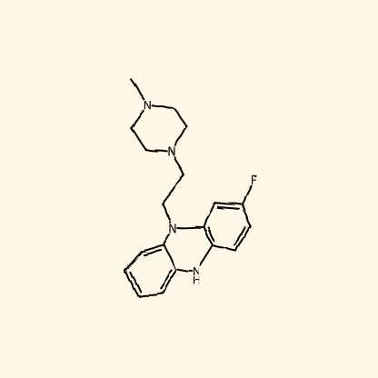 CN1CCN(CCN2c3ccccc3Nc3ccc(F)cc32)CC1